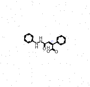 O=C(/C=C(\C(=O)O)c1ccccc1)NNc1ccccc1